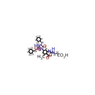 Cc1cc(NC(=O)[C@H](Cc2ccccc2)NC(=O)OCc2ccccc2)cc2nc(NCCC(=O)O)oc(=O)c12